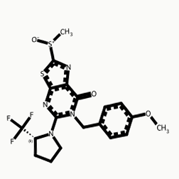 COc1ccc(Cn2c(N3CCC[C@@H]3C(F)(F)F)nc3sc([S+](C)[O-])nc3c2=O)cc1